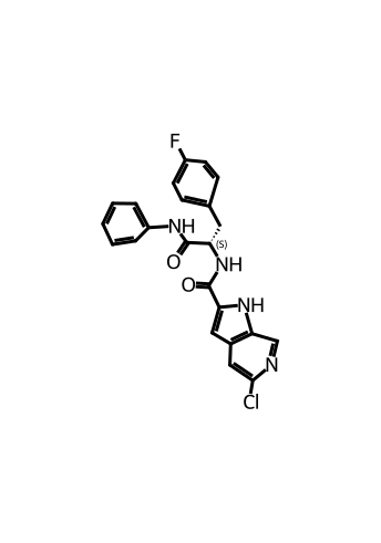 O=C(N[C@@H](Cc1ccc(F)cc1)C(=O)Nc1ccccc1)c1cc2cc(Cl)ncc2[nH]1